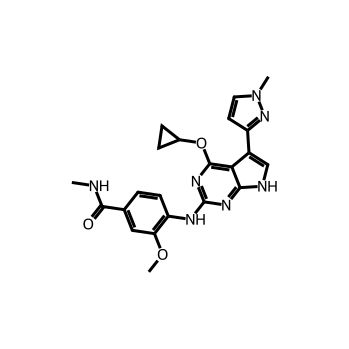 CNC(=O)c1ccc(Nc2nc(OC3CC3)c3c(-c4ccn(C)n4)c[nH]c3n2)c(OC)c1